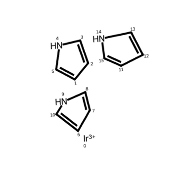 [Ir+3].c1cc[nH]c1.c1cc[nH]c1.c1cc[nH]c1